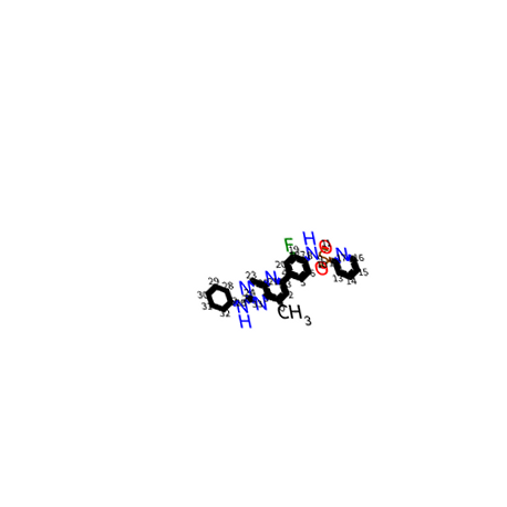 Cc1cc(-c2ccc(NS(=O)(=O)c3ccccn3)c(F)c2)nc2cnc(NC3CCCCC3)nc12